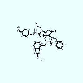 CCCN(C(=O)NCC1=CCC(OC)C=C1)N1CC(=O)N2[C@@H](Cc3ccccc3)C(=O)N(Cc3cccc4sc(N)nc34)C[C@@H]21